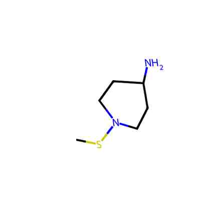 CSN1CCC(N)CC1